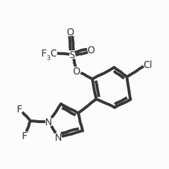 O=S(=O)(Oc1cc(Cl)ccc1-c1cnn(C(F)F)c1)C(F)(F)F